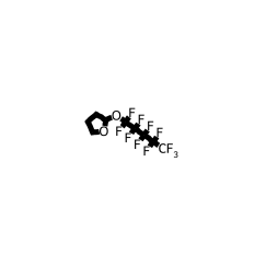 FC(F)(F)C(F)(F)C(F)(F)C(F)(F)C(F)(F)OC1CCCO1